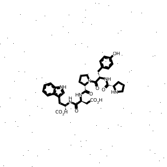 O=C(O)C[C@H](NC(=O)[C@@H]1CCCN1C(=O)[C@H](Cc1ccc(O)cc1)NC(=O)[C@@H]1CCCN1)C(=O)N[C@@H](Cc1c[nH]c2ccccc12)C(=O)O